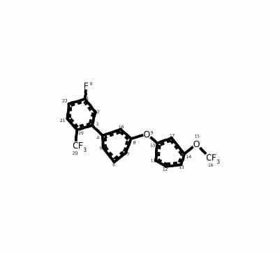 Fc1[c]c(-c2cccc(Oc3cccc(OC(F)(F)F)c3)c2)c(C(F)(F)F)cc1